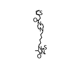 CC1C(=O)N(C)C(=S)N1CCCCCCN1CCN(C(=O)Cc2cccs2)CC1